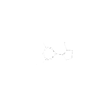 O=C(O)c1cc(F)cc(C2=C(Br)CCC2)c1